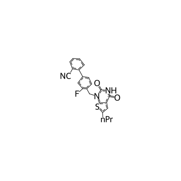 CCCc1cc2c(=O)[nH]c(=O)n(Cc3ccc(-c4ccccc4C#N)cc3F)c2s1